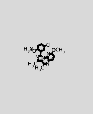 COc1ccc2nc(C)c3c(C)nc(-c4cc(Cl)ccc4OC)n3c2n1